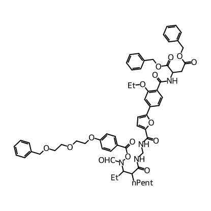 CCCCCC(C(=O)NCNC(=O)c1ccc(-c2ccc(C(=O)NC(CC(=O)OCc3ccccc3)C(=O)OCc3ccccc3)c(OCC)c2)o1)C(CC)N(C=O)OC(=O)c1ccc(OCCOCCOCc2ccccc2)cc1